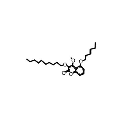 CCC=CCCOc1cccc2oc(=O)c(OCCCCCCCCCC)c(OC)c12